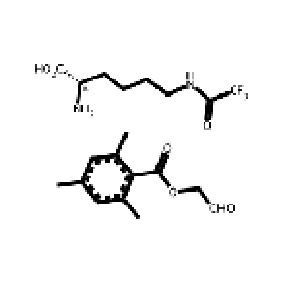 Cc1cc(C)c(C(=O)OCC=O)c(C)c1.N[C@@H](CCCCNC(=O)C(F)(F)F)C(=O)O